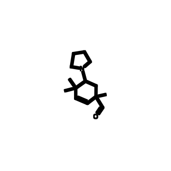 CC1(C=O)C=CC(C)(C)C(N2CCCC2)C1